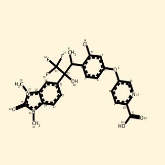 CC(c1ccc(Oc2ccc(C(=O)O)nc2)cc1Cl)C(O)(c1ccc2c(c1)n(C)c(=O)n2C)C(F)(F)F